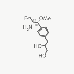 CO[C@H](c1ccc(CC(O)CO)cc1)[C@H](N)CF